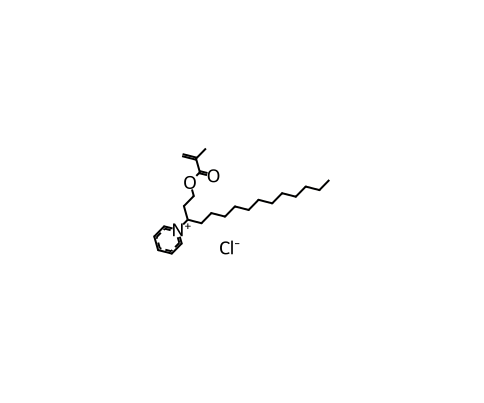 C=C(C)C(=O)OCCC(CCCCCCCCCCCC)[n+]1ccccc1.[Cl-]